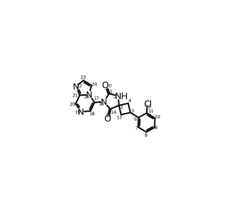 O=C1NC2(CC(c3ccccc3Cl)C2)C(=O)N1c1cncc2nccn12